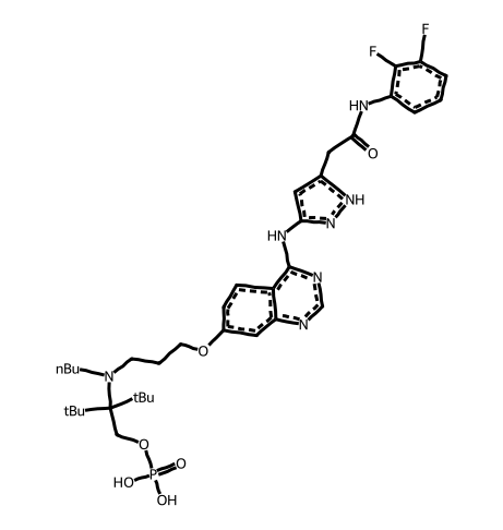 CCCCN(CCCOc1ccc2c(Nc3cc(CC(=O)Nc4cccc(F)c4F)[nH]n3)ncnc2c1)C(COP(=O)(O)O)(C(C)(C)C)C(C)(C)C